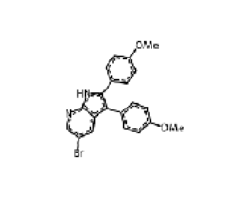 COc1ccc(-c2[nH]c3ncc(Br)cc3c2-c2ccc(OC)cc2)cc1